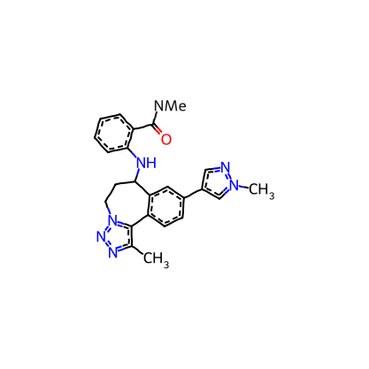 CNC(=O)c1ccccc1NC1CCn2nnc(C)c2-c2ccc(-c3cnn(C)c3)cc21